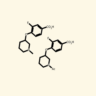 CC(=O)N1CCCC(Oc2ccc(C(=O)O)cc2F)C1.CN1CCCC(Oc2ccc(C(=O)O)cc2F)C1